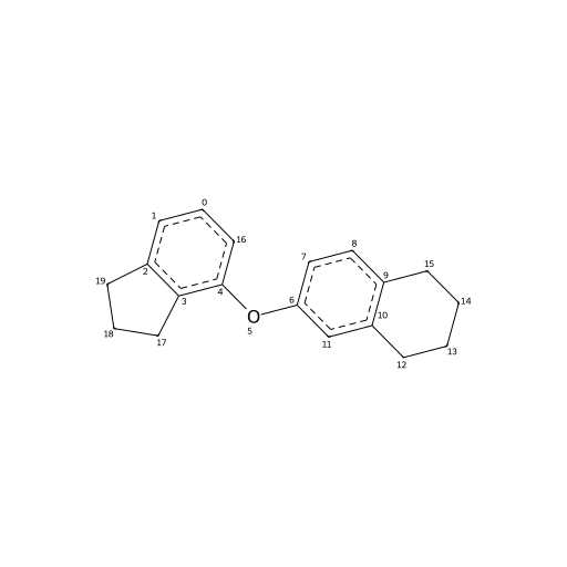 c1cc2c(c(Oc3ccc4c(c3)CCCC4)c1)CCC2